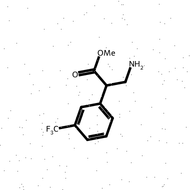 COC(=O)C(CN)c1cccc(C(F)(F)F)c1